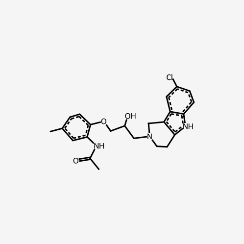 CC(=O)Nc1cc(C)ccc1OCC(O)CN1CCc2[nH]c3ccc(Cl)cc3c2C1